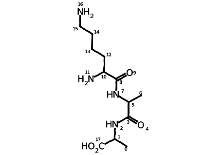 CC(NC(=O)C(C)NC(=O)C(N)CCCCN)C(=O)O